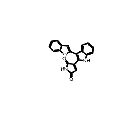 O=C1C=C(c2[nH]c3ccccc3c2-c2cc3ccccc3o2)C(=O)N1